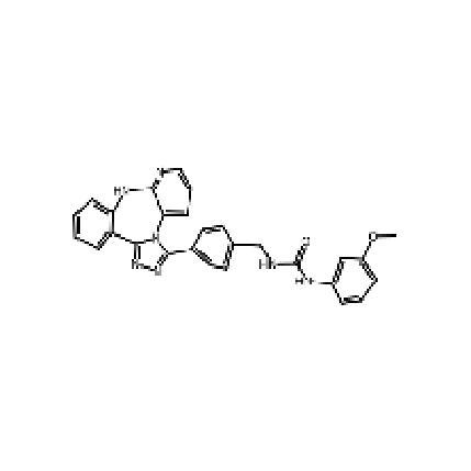 COc1cccc(NC(=O)NCc2ccc(-c3nnc4n3-c3cccnc3Nc3ccccc3-4)cc2)c1